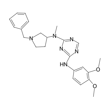 COc1ccc(Nc2ncnc(N(C)C3CCN(Cc4ccccc4)C3)n2)cc1OC